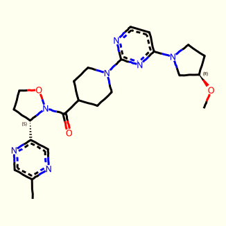 CO[C@@H]1CCN(c2ccnc(N3CCC(C(=O)N4OCC[C@H]4c4cnc(C)cn4)CC3)n2)C1